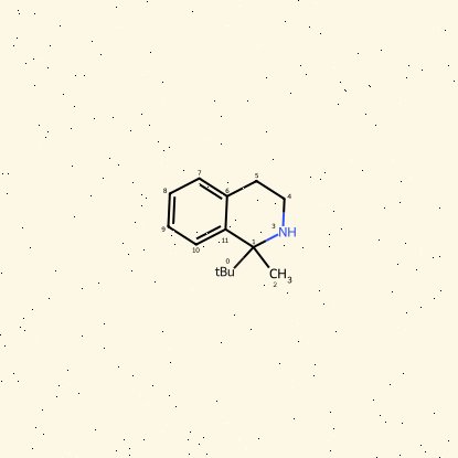 CC(C)(C)C1(C)NCCc2ccccc21